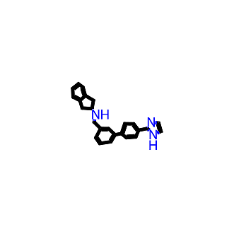 c1cc(CNC2Cc3ccccc3C2)cc(-c2ccc(-c3ncc[nH]3)cc2)c1